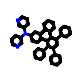 c1ccc(-c2cc(-c3ccccc3)c3c4ccccc4c4cc(N(c5cccnc5)c5cccnc5)ccc4c3c2-c2ccccc2)cc1